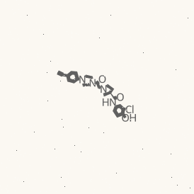 C#Cc1ccc(N2CCN(C(=O)CN3CC[C@@H](C(=O)Nc4ccc(O)c(Cl)c4)C3)CC2)cc1